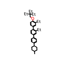 CCc1cc(-c2ccc(-c3ccc(C4CCC(C)CC4)cc3)cc2CC)ccc1OCC(CC)(CC)CC